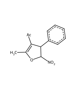 CC(=O)C1=C(C)OC([N+](=O)[O-])C1c1ccccc1